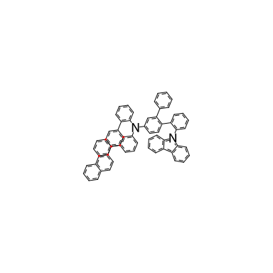 c1ccc(-c2cccc(N(c3ccc(-c4ccccc4-n4c5ccccc5c5ccccc54)c(-c4ccccc4)c3)c3ccccc3-c3ccc(-c4ccc5ccccc5c4)cc3)c2)cc1